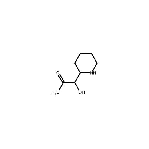 CC(=O)C(O)C1CCCCN1